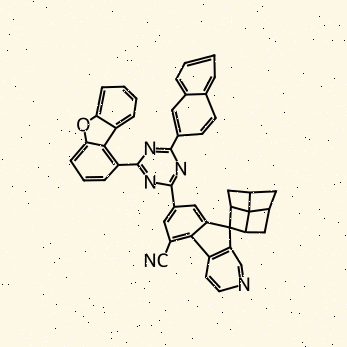 N#Cc1cc(-c2nc(-c3ccc4ccccc4c3)nc(-c3cccc4oc5ccccc5c34)n2)cc2c1-c1ccncc1C21C2CC3CC4CC1C342